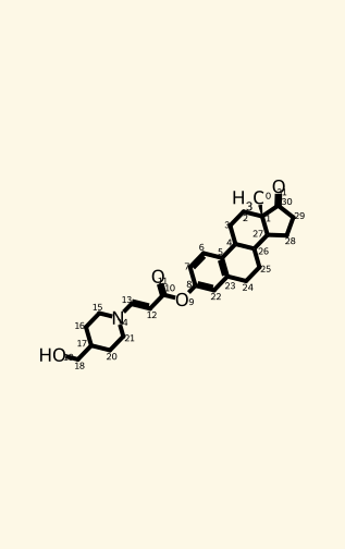 C[C@]12CCC3c4ccc(OC(=O)/C=C/N5CCC(CO)CC5)cc4CCC3C1CCC2=O